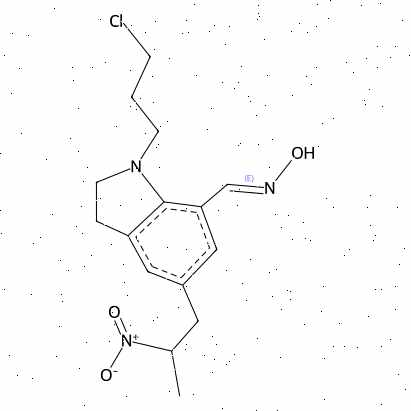 CC(Cc1cc(/C=N/O)c2c(c1)CCN2CCCCl)[N+](=O)[O-]